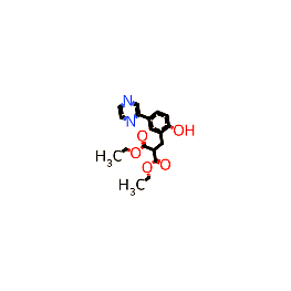 CCOC(=O)C(Cc1cc(-c2cnccn2)ccc1O)C(=O)OCC